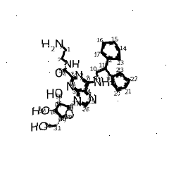 NCCNC(=O)c1nc(NCC(c2ccccc2)c2ccccc2)c2ncn([C@@H]3O[C@H](CO)[C@@H](O)[C@@H]3O)c2n1